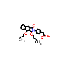 CCCCOc1c2c(cc3ccccc13)C(=O)N(c1ccc(CC(=O)O)cc1)C2OCCCC